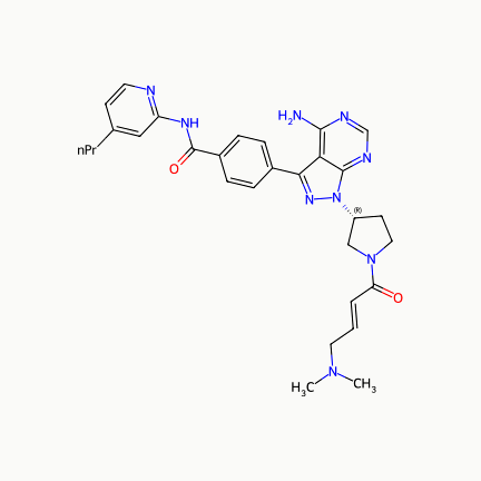 CCCc1ccnc(NC(=O)c2ccc(-c3nn([C@@H]4CCN(C(=O)C=CCN(C)C)C4)c4ncnc(N)c34)cc2)c1